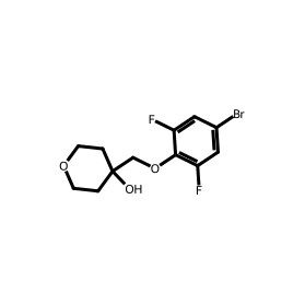 OC1(COc2c(F)cc(Br)cc2F)CCOCC1